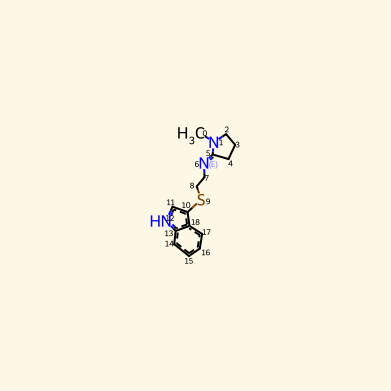 CN1CCC/C1=N\CCSc1c[nH]c2ccccc12